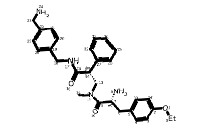 CCOc1ccc(C[C@@H](N)C(=O)N(C)C[C@H](C(=O)NCc2ccc(CN)cc2)c2ccccc2)cc1